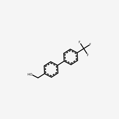 OCc1ccc(-c2ccc(C(F)(F)F)cc2)cc1